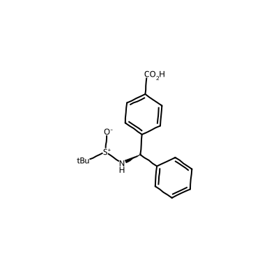 CC(C)(C)[S+]([O-])N[C@H](c1ccccc1)c1ccc(C(=O)O)cc1